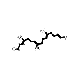 CCC=CCCC(C)=CCCC(C)=CCCC(C)=CCCC(C)=O